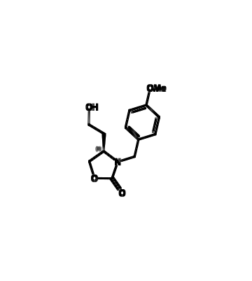 COc1ccc(CN2C(=O)OC[C@H]2CCO)cc1